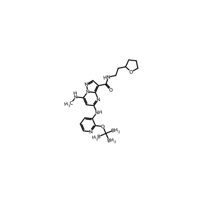 BC(B)(B)Oc1ncccc1Nc1cc(NC)n2ncc(C(=O)NCCC3CCCO3)c2n1